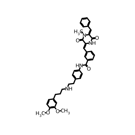 COc1ccc(CCCNCCc2ccc(NC(=O)c3cccc(C=c4[nH]c(=O)c(=Cc5ccccc5)n(C)c4=O)c3)cc2)cc1OC